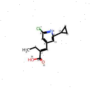 CC/C(=C\c1cc(Cl)nc(C2CC2)c1)C(=O)O